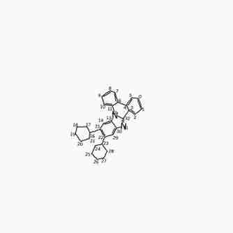 c1ccc2c(c1)c1ccccc1n1c3cc(C4CCCCC4)c(C4CCCCC4)cc3nc21